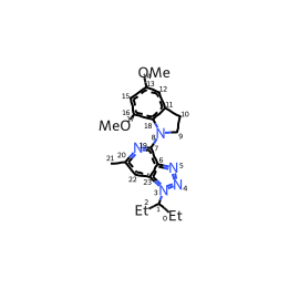 CCC(CC)n1nnc2c(N3CCc4cc(OC)cc(OC)c43)nc(C)cc21